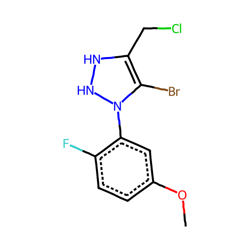 COc1ccc(F)c(N2NNC(CCl)=C2Br)c1